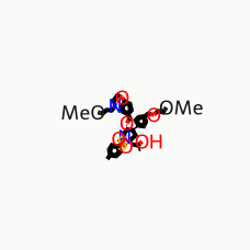 COCCCN1CCOc2ccc(CO[C@H]3CN(S(=O)(=O)c4ccc(C)cc4)[C@@H](C[C@H](C)O)C[C@@H]3c3ccc(COCCOC)cc3)cc21